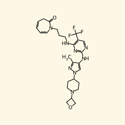 Cc1nn(C2CCN(C3COC3)CC2)cc1Nc1ncc(C(F)(F)F)c(NCCCN2C=CC=CCC2=O)n1